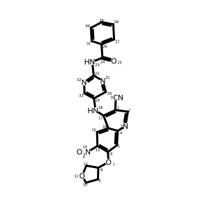 N#Cc1cnc2cc(OC3CCOC3)c([N+](=O)[O-])cc2c1Nc1cnc(NC(=O)c2ccccc2)nc1